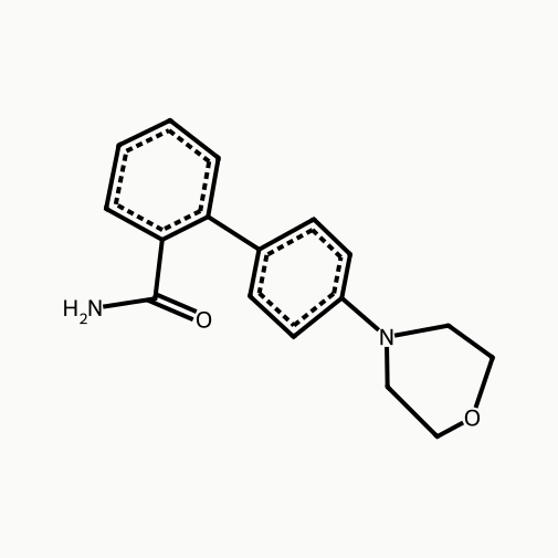 NC(=O)c1ccccc1-c1ccc(N2CCOCC2)cc1